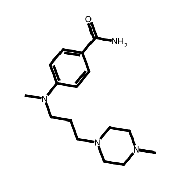 CN1CCN(CCCN(C)c2ccc(C(N)=O)cc2)CC1